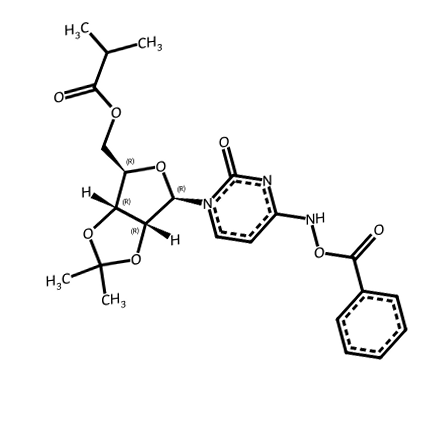 CC(C)C(=O)OC[C@H]1O[C@@H](n2ccc(NOC(=O)c3ccccc3)nc2=O)[C@@H]2OC(C)(C)O[C@@H]21